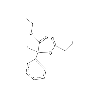 CCOC(=O)C(I)(OC(=O)CI)c1ccccc1